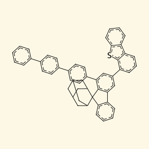 c1ccc(-c2ccc(-c3ccc(-c4cc(-c5cccc6c5sc5ccccc56)cc5c4C4(c6ccccc6-5)C5CC6CC(C5)CC4C6)cc3)cc2)cc1